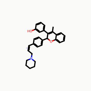 CC1=C(c2cccc(O)c2)C(c2ccc(/C=C\CN3CCCCC3)cc2)Oc2ccccc21